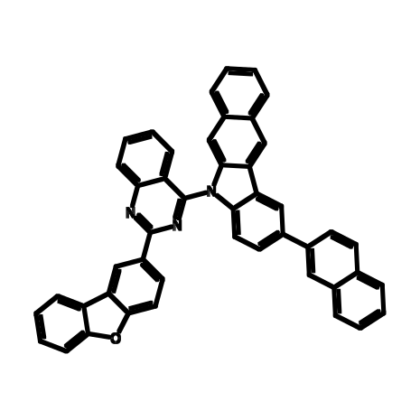 c1ccc2cc(-c3ccc4c(c3)c3cc5ccccc5cc3n4-c3nc(-c4ccc5oc6ccccc6c5c4)nc4ccccc34)ccc2c1